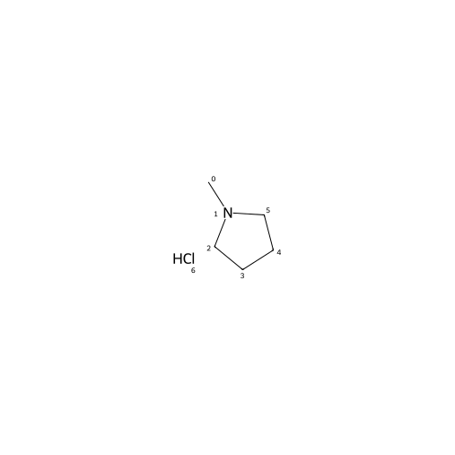 CN1CCCC1.Cl